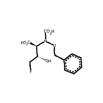 O=C(O)[C@H]([C@H](O)CF)N(OCc1ccccc1)C(=O)O